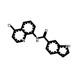 O=C(Nc1cccc2c(Cl)ccnc12)c1ccc2cc[nH]c2c1